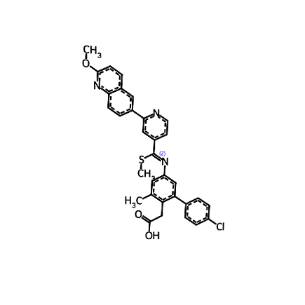 COc1ccc2cc(-c3cc(/C(=N/c4cc(C)c(CC(=O)O)c(-c5ccc(Cl)cc5)c4)SC)ccn3)ccc2n1